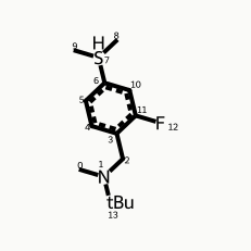 CN(Cc1ccc([SH](C)C)cc1F)C(C)(C)C